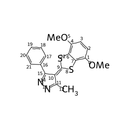 COc1ccc(OC)c2c1SC(=C1C(C)=NN=C1c1ccccc1)S2